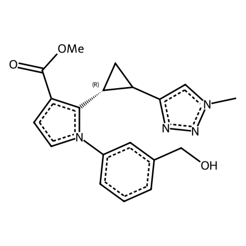 COC(=O)c1ccn(-c2cccc(CO)c2)c1[C@@H]1CC1c1cn(C)nn1